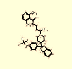 Cc1ccnc(C)c1C(=O)NCCC(C)N1CCC(C2(c3ccc(OC(F)(F)F)cc3)Oc3ccccc3O2)CC1